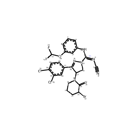 N#C/N=C(/Nc1cccc(OC(F)F)c1)N1CC(N2CCCC(Br)C2=O)C(c2ccc(Cl)c(Cl)c2)=N1